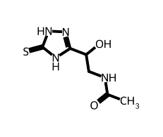 CC(=O)NCC(O)c1n[nH]c(=S)[nH]1